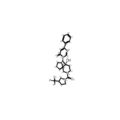 O=C(N1CCC(C(F)(F)F)C1)N1CC[C@@](O)(Cn2cnc(-c3ccccc3)cc2=O)C2(CCCC2)C1